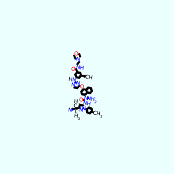 C#Cc1cc(Nc2nccc(Oc3ccc(N(N)C(=O)Nc4cc(C(C)(C)C#N)nn4-c4ccc(C)cc4)c4ccccc34)n2)cc(C(=O)NCCN2CCOCC2)c1